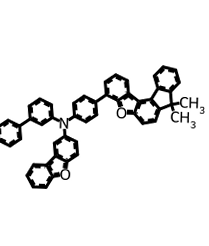 CC1(C)c2ccccc2-c2c1ccc1oc3c(-c4ccc(N(c5cccc(-c6ccccc6)c5)c5ccc6oc7ccccc7c6c5)cc4)cccc3c21